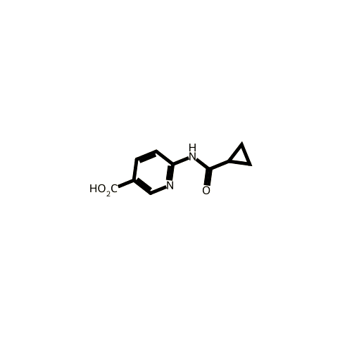 O=C(O)c1ccc(NC(=O)C2CC2)nc1